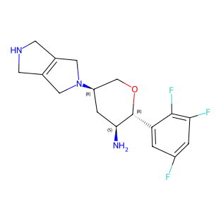 N[C@H]1C[C@@H](N2CC3=C(CNC3)C2)CO[C@@H]1c1cc(F)cc(F)c1F